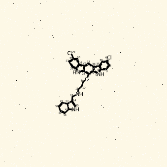 Clc1ccc2[nH]c3c(OCCCNCC4=CNC5C=CC=CC45)c4[nH]c5ccc(Cl)cc5c4cc3c2c1